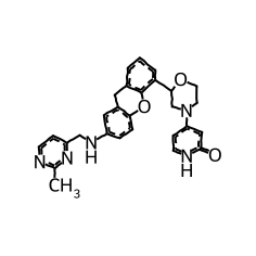 Cc1nccc(CNc2ccc3c(c2)Cc2cccc(C4CN(c5cc[nH]c(=O)c5)CCO4)c2O3)n1